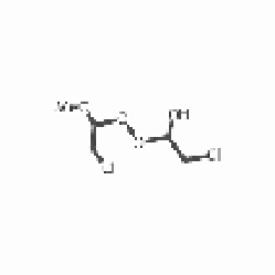 COC(CCl)OOC(O)CCl